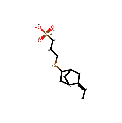 C/C=C1/CC2CC1CC2SCCCS(=O)(=O)O